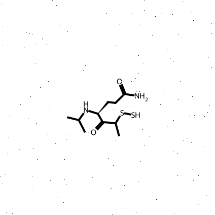 CC(C)N[C@@H](CCC(N)=O)C(=O)C(C)SS